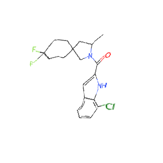 CC1CC2(CCC(F)(F)CC2)CN1C(=O)c1cc2cccc(Cl)c2[nH]1